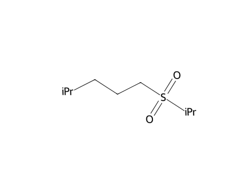 CC(C)CCCS(=O)(=O)C(C)C